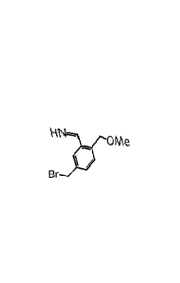 COCc1ccc(CBr)cc1C=N